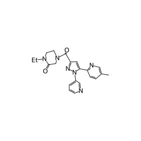 CCN1CCN(C(=O)c2cc(-c3ccc(C)cn3)n(-c3cccnc3)n2)CC1=O